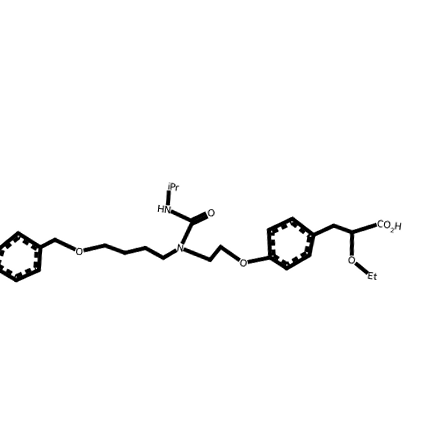 CCOC(Cc1ccc(OCCN(CCCCOCc2ccc(F)cc2)C(=O)NC(C)C)cc1)C(=O)O